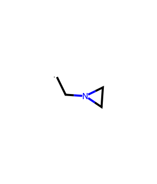 [CH2]CN1CC1